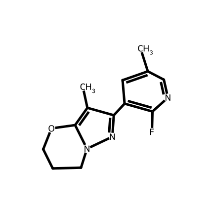 Cc1cnc(F)c(-c2nn3c(c2C)OCCC3)c1